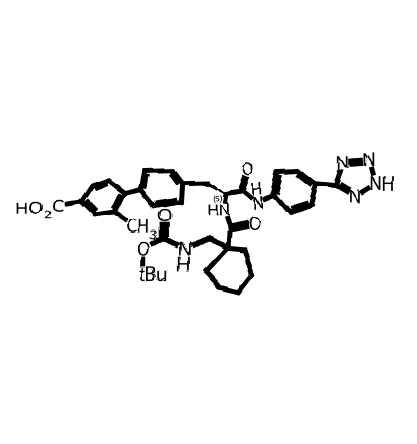 Cc1cc(C(=O)O)ccc1-c1ccc(C[C@H](NC(=O)C2(CNC(=O)OC(C)(C)C)CCCCC2)C(=O)Nc2ccc(-c3nn[nH]n3)cc2)cc1